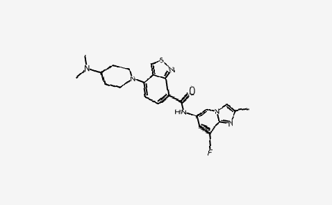 Cc1cn2cc(NC(=O)c3ccc(N4CCC(N(C)C)CC4)c4csnc34)cc(F)c2n1